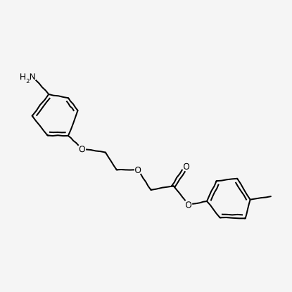 Cc1ccc(OC(=O)COCCOc2ccc(N)cc2)cc1